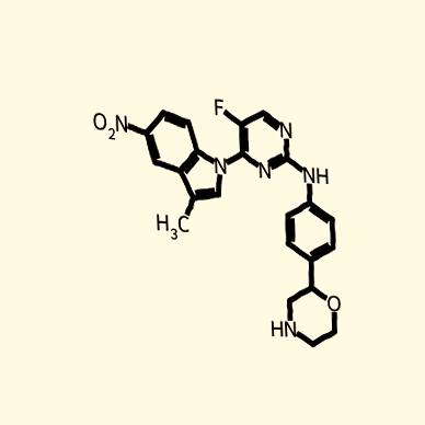 Cc1cn(-c2nc(Nc3ccc(C4CNCCO4)cc3)ncc2F)c2ccc([N+](=O)[O-])cc12